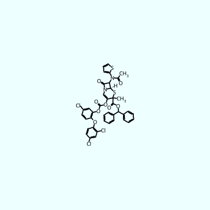 CC(=O)N(c1cccs1)C1C(=O)N2C=C(OC(=O)Oc3cc(Cl)ccc3Oc3ccc(Cl)cc3Cl)C(C)(C(=O)OC(c3ccccc3)c3ccccc3)S[C@H]12